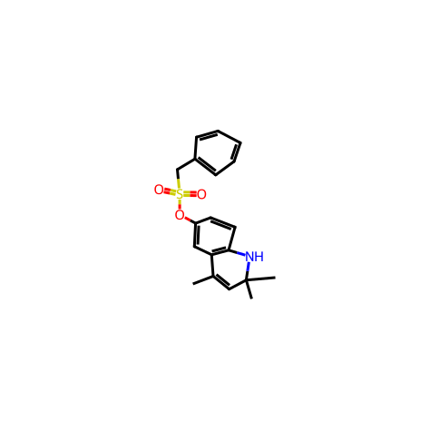 CC1=CC(C)(C)Nc2ccc(OS(=O)(=O)Cc3ccccc3)cc21